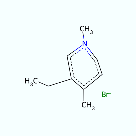 CCc1c[n+](C)ccc1C.[Br-]